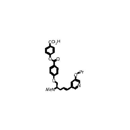 CNC(CC=Cc1cncc(OC(C)C)c1)COc1ccc(C(=O)Oc2ccc(C(=O)O)cc2)cc1